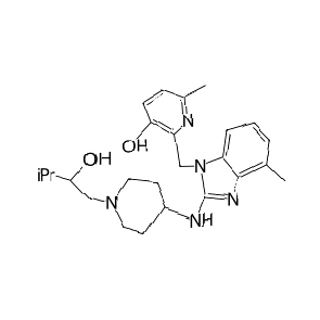 Cc1ccc(O)c(Cn2c(NC3CCN(CC(O)C(C)C)CC3)nc3c(C)cccc32)n1